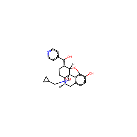 O/C(=C1/CC[C@@]2(O)[C@H]3Cc4ccc(O)c5c4[C@@]2(CCN3CC2CC2)[C@H]1O5)c1ccncc1